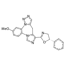 COc1ccc2c(c1)-n1nncc1Cc1c(C3=NC[C@H](c4ccccc4)O3)ncn1-2